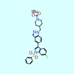 CC(C)(C)OC(=O)N1CCC(Cn2ncc3cc(-c4cn(S(=O)(=O)c5ccccc5)c5cc(F)ccc45)ccc32)CC1